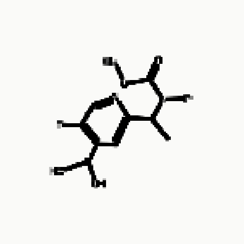 CCN(C(=O)OC(C)(C)C)C(C)c1cc(B(O)O)c(F)cn1